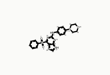 O=S(=O)(c1ccccc1)c1nc(Nc2ccc(N3CCOCC3)cc2)nc2[nH]cnc12